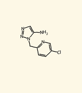 Nc1cnnn1Cc1ccc(Cl)cn1